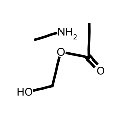 CC(=O)OCO.CN